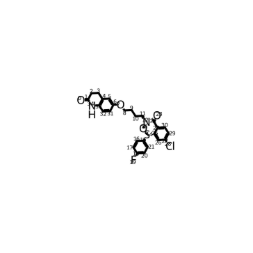 O=C1CCc2cc(OCCCC=[N+](OSc3ccc(F)cc3)C(=O)c3ccc(Cl)cc3)ccc2N1